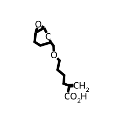 C=C(CCCCOCC1CCC2OC2C1)C(=O)O